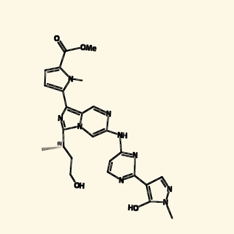 COC(=O)c1ccc(-c2nc([C@@H](C)CCO)n3cc(Nc4ccnc(-c5cnn(C)c5O)n4)ncc23)n1C